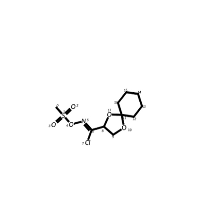 CS(=O)(=O)ON=C(Cl)C1COC2(CCCCC2)O1